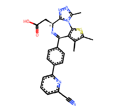 Cc1sc2c(c1C)C(c1ccc(-c3cccc(C#N)n3)cc1)=N[C@@H](CC(=O)O)c1nnc(C)n1-2